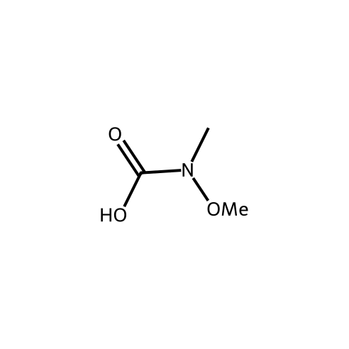 CON(C)C(=O)O